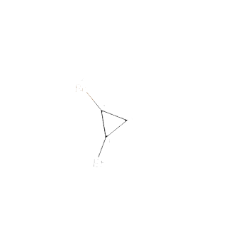 CCC1CC1Br